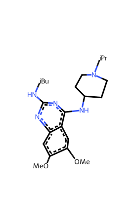 CCC(C)Nc1nc(NC2CCN(C(C)C)CC2)c2cc(OC)c(OC)cc2n1